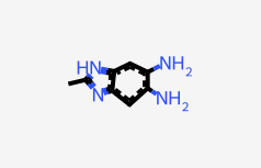 Cc1nc2cc(N)c(N)cc2[nH]1